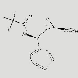 CC(C)(C)[S@@+]([O-])N[C@H](c1ccccc1)[C@@H]1C[C@H]1C#N